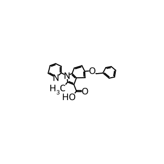 Cc1c(C(=O)O)c2cc(OCc3ccccc3)ccc2n1-c1ccccn1